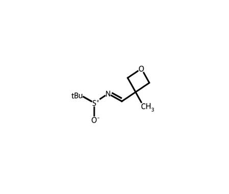 CC1(C=N[S+]([O-])C(C)(C)C)COC1